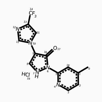 Cc1ccnc(-n2[nH]cc(-n3cnc(C(F)(F)F)c3)c2=O)c1.Cl